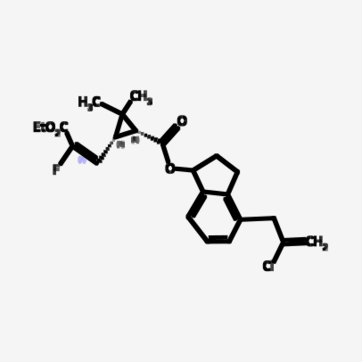 C=C(Cl)Cc1cccc2c1CCC2OC(=O)[C@@H]1[C@H](/C=C(/F)C(=O)OCC)C1(C)C